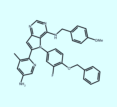 COc1ccc(CNc2ncnc3cc(-c4ncc(N)cc4C)n(-c4ccc(OCc5ccccc5)c(F)c4)c23)cc1